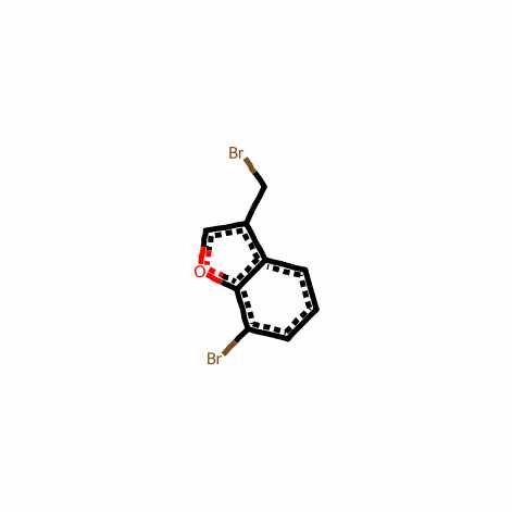 BrCc1coc2c(Br)cccc12